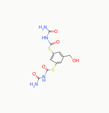 NC(=O)NC(=O)Sc1cc(CO)cc(SC(=O)NC(N)=O)c1